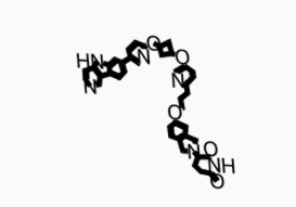 O=C1CCC(N2Cc3ccc(OCCCc4ccc(OC5CC(Oc6ccc(-c7ccc8c(c7)[nH]c7ccncc78)cn6)C5)cn4)cc3C2)C(=O)N1